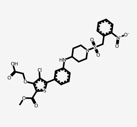 COC(=O)c1sc(-c2cccc(NC3CCN(S(=O)(=O)Cc4ccccc4[N+](=O)[O-])CC3)c2)c(Cl)c1OCC(=O)O